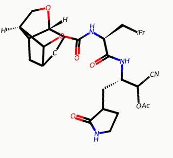 CC(=O)OC(C#N)[C@H](CC1CCNC1=O)NC(=O)[C@H](CC(C)C)NC(=O)OC1C2CC[C@H]3OC[C@@H]1C3C2